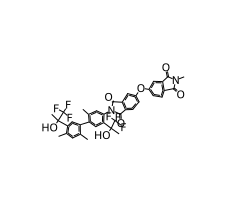 Cc1cc(C)c(C(C)(O)C(F)(F)F)cc1-c1cc(C(C)(O)C(F)(F)F)c(N2C(=O)c3ccc(Oc4ccc5c(c4)C(=O)N(C)C5=O)cc3C2=O)cc1C